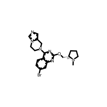 CN1CCC[C@H]1COc1nc(N2CCn3cncc3C2)c2ccc(Br)cc2n1